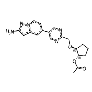 CC(=O)O[C@H]1CCC[C@@H]1OCc1ncc(-c2ccn3nc(N)cc3c2)cn1